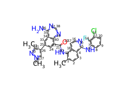 Cc1ccc2c(Nc3cccc(Cl)c3F)nccc2c1NC(=O)c1cc(-c2cn(C)nc2C)cc2c(N)ncnc12